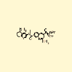 CCCN(CCC)C(=O)C1=Cc2ccc(C(=O)Nc3cnc4c(c3)C(N)CCC4)cc2N=C(N)C1